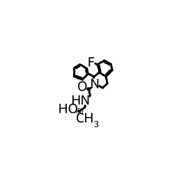 C[C@@H](O)CNCC(=O)N1CCc2cccc(F)c2C1c1ccccc1